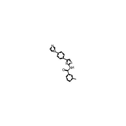 Cc1cccc(C(=O)Nc2nc(-c3ccc(-n4ccnc4)cc3)cs2)c1